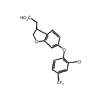 O=C(O)CC1COc2cc(Oc3ccc(C(F)(F)F)cc3Cl)ccc21